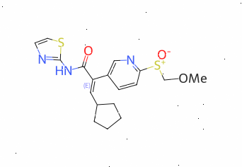 COC[S+]([O-])c1ccc(/C(=C\C2CCCC2)C(=O)Nc2nccs2)cn1